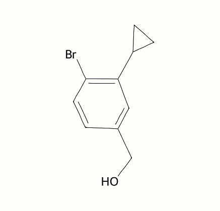 OCc1ccc(Br)c(C2CC2)c1